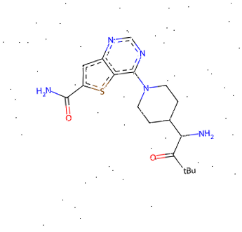 CC(C)(C)C(=O)C(N)C1CCN(c2ncnc3cc(C(N)=O)sc23)CC1